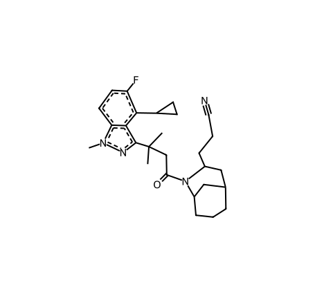 Cn1nc(C(C)(C)CC(=O)N2C(CCC#N)CC3CCCC2C3)c2c(C3CC3)c(F)ccc21